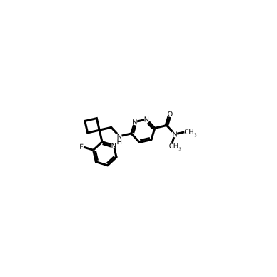 CN(C)C(=O)c1ccc(NCC2(c3ncccc3F)CCC2)nn1